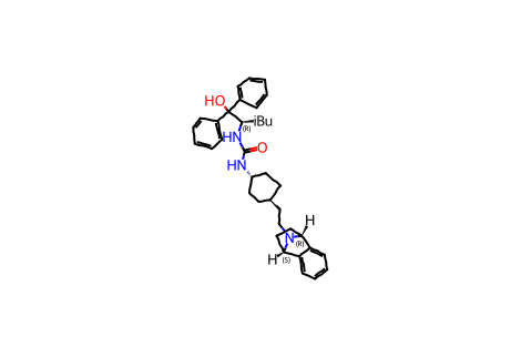 CCC(C)[C@@H](NC(=O)N[C@H]1CC[C@H](CCN2[C@@H]3CC[C@H]2c2ccccc23)CC1)C(O)(c1ccccc1)c1ccccc1